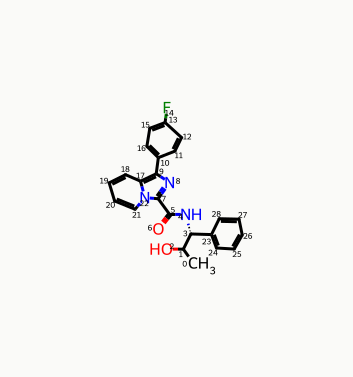 CC(O)[C@H](NC(=O)c1nc(-c2ccc(F)cc2)c2ccccn12)c1ccccc1